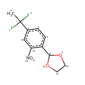 CC(F)(F)c1ccc(C2OCCO2)c([N+](=O)[O-])c1